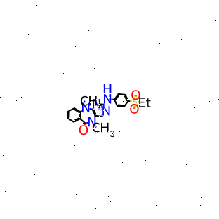 CCS(=O)(=O)c1ccc(Nc2ncc3c(n2)N(C)c2ccccc2C(=O)N3C)cc1